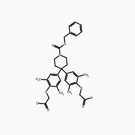 Cc1cc(C2(c3cc(C)c(OCC(=O)Cl)c(C)c3)CCN(C(=O)OCc3ccccc3)CC2)cc(C)c1OCC(=O)Cl